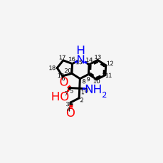 NC(CC=O)(C(=O)O)C1c2ccccc2NC2CCCC21